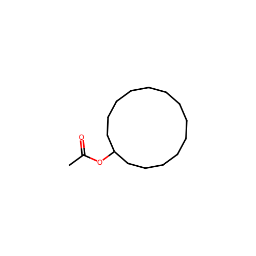 CC(=O)OC1CCCCCCCCCCCCC1